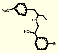 COc1ccc(CC(CI)NCC(O)c2cccc(Br)c2)cc1